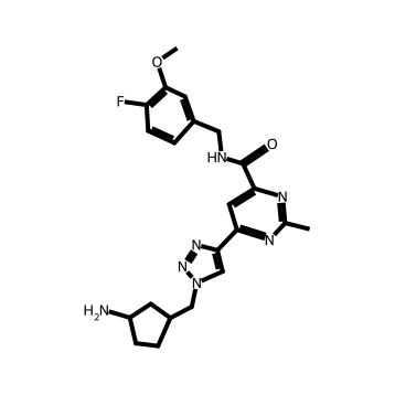 COc1cc(CNC(=O)c2cc(-c3cn(CC4CCC(N)C4)nn3)nc(C)n2)ccc1F